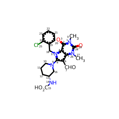 Cn1c(=O)c2c(c(C=O)c(N3CCC[C@@H](NC(=O)O)C3)n2Cc2ccccc2Cl)n(C)c1=O